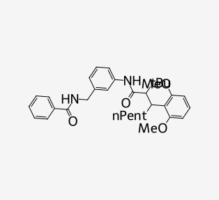 CCCCCC(c1c(OC)cccc1OC)C(C(=O)Nc1cccc(CNC(=O)c2ccccc2)c1)C(C)(C)C